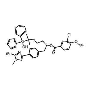 CC(C)Oc1ccc(C(=O)O[C@H](CCCC(C)(C)[Si](O)(c2ccccc2)c2ccccc2)Cc2ccc(-c3cn(C)c(C(C)(C)C)n3)cc2)cc1Cl